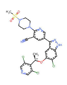 C[C@@H](Oc1cc2c(-c3cnc(N4CCN(S(C)(=O)=O)CC4)c(C#N)c3)n[nH]c2cc1Cl)c1c(Cl)cncc1Cl